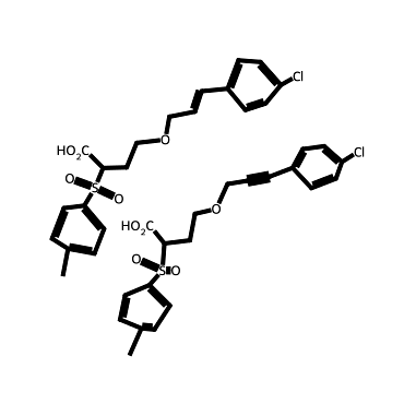 Cc1ccc(S(=O)(=O)C(CCOCC#Cc2ccc(Cl)cc2)C(=O)O)cc1.Cc1ccc(S(=O)(=O)C(CCOCC=Cc2ccc(Cl)cc2)C(=O)O)cc1